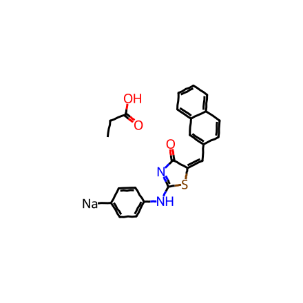 CCC(=O)O.O=C1N=C(Nc2cc[c]([Na])cc2)SC1=Cc1ccc2ccccc2c1